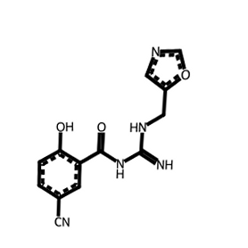 N#Cc1ccc(O)c(C(=O)NC(=N)NCc2cnco2)c1